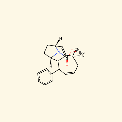 CC(C)(C)OC(=O)N1[C@H]2C=C3C(C(c4ccccc4)C=CCC3(C#N)C#N)[C@@H]1CC2